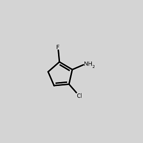 NC1=C(F)CC=C1Cl